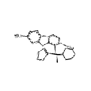 CC(C)(C)c1ccc2c(c1)Cc1c-2ccc(C(C)(C)C)c1C(C)(C1=CC=CC1)C1CCCCC1